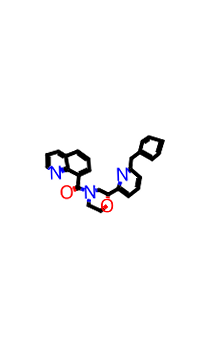 O=C(c1cccc2cccnc12)N1CCOC(c2cccc(Cc3ccccc3)n2)C1